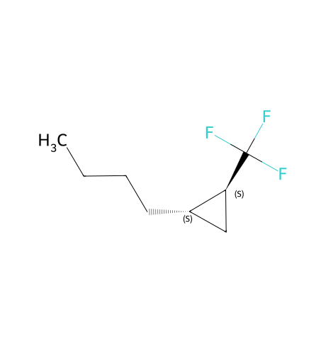 CCCC[C@H]1C[C@@H]1C(F)(F)F